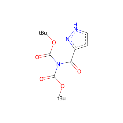 CC(C)(C)OC(=O)N(C(=O)OC(C)(C)C)C(=O)c1cc[nH]n1